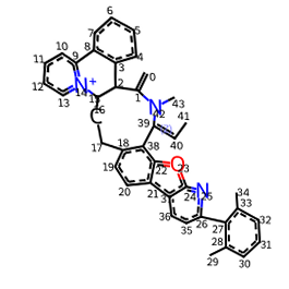 C=C1C2c3ccccc3-c3cccc[n+]3C2CCc2ccc3c(oc4nc(-c5c(C)cccc5C)ccc43)c2/C(=C/C)N1C